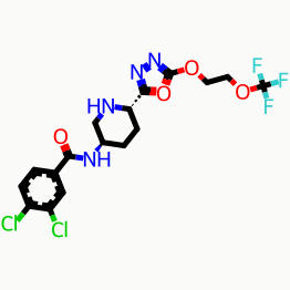 O=C(N[C@@H]1CC[C@@H](c2nnc(OCCOC(F)(F)F)o2)NC1)c1ccc(Cl)c(Cl)c1